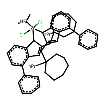 CCCC1(CC2=Cc3c(-c4ccccc4)cccc3[CH]2[Zr]([Cl])([Cl])([CH]2C(CC3(CCC)CCCCCC3)=Cc3c(-c4ccccc4)cccc32)[SiH](C)C)CCCCCC1